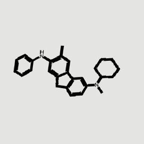 Cc1cc2c(cc1Nc1ccccc1)Cc1ccc(N(C)C3CCCCC3)cc1-2